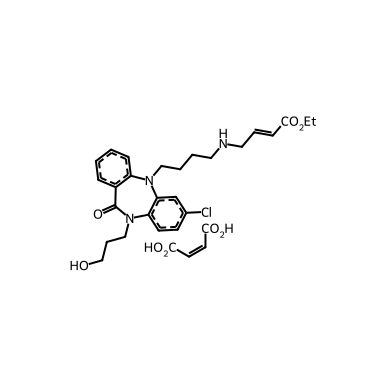 CCOC(=O)/C=C/CNCCCCN1c2ccccc2C(=O)N(CCCO)c2ccc(Cl)cc21.O=C(O)/C=C\C(=O)O